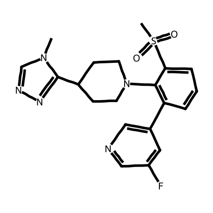 Cn1cnnc1C1CCN(c2c(-c3cncc(F)c3)cccc2S(C)(=O)=O)CC1